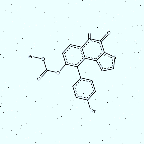 CC(C)OC(=O)Oc1ccc2[nH]c(=O)c3sccc3c2c1-c1ccc(C(C)C)cc1